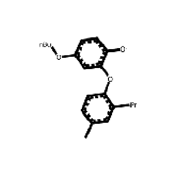 CCCCOc1ccc([O])c(Oc2ccc(C)cc2C(C)C)c1